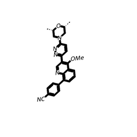 COc1c(-c2ccc(N3C[C@@H](C)O[C@@H](C)C3)nn2)cnc2c(-c3ccc(C#N)cc3)cccc12